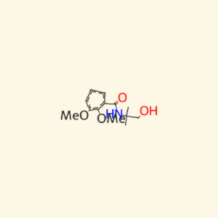 COc1cccc(C(=O)NC(C)(C)CO)c1OC